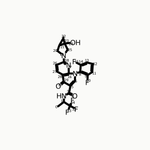 CC(NC(=O)c1cn(-c2c(F)cccc2F)c2nc(N3CC4CC4(O)C3)ccc2c1=O)C(F)(F)F